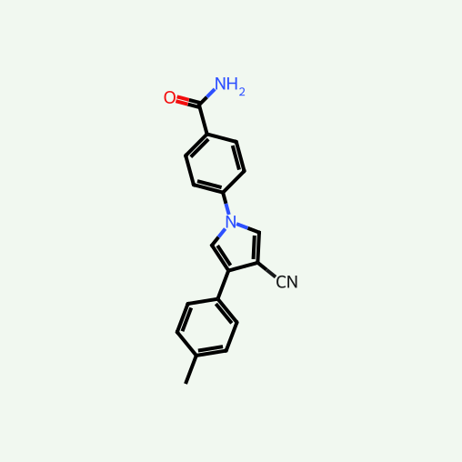 Cc1ccc(-c2cn(-c3ccc(C(N)=O)cc3)cc2C#N)cc1